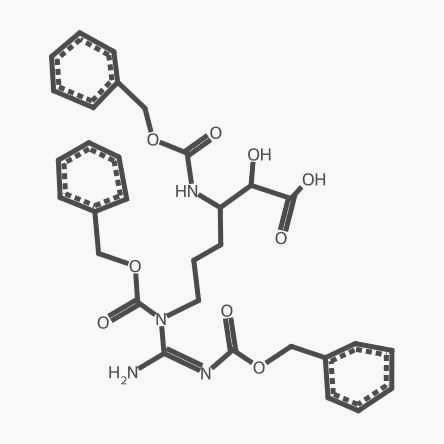 NC(=NC(=O)OCc1ccccc1)N(CCCC(NC(=O)OCc1ccccc1)C(O)C(=O)O)C(=O)OCc1ccccc1